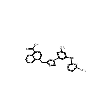 Cc1cc(Nc2nccc(C)n2)cc(-c2cnc(Cc3ccc(C(=O)O)c4ccccc34)s2)c1